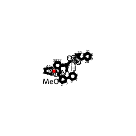 COc1ccc(C2CCCCC2)c2c1cc1n2CC2=C(C(=O)NS(=O)(=O)C3(Cc4ccccc4)CC3)C2=C2C=CC[C@@H](C(=O)N3C4CCC3CN(C)C4)C21